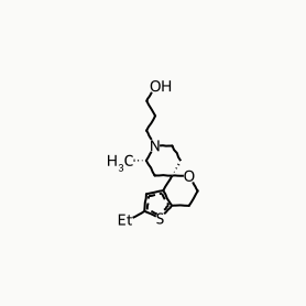 CCc1cc2c(s1)CCO[C@@]21CCN(CCCO)[C@@H](C)C1